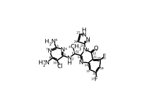 C[C@H](Nc1nc(N)nc(N)c1Cl)c1nc2cc(F)cc(F)c2c(=O)n1-c1cc[nH]n1